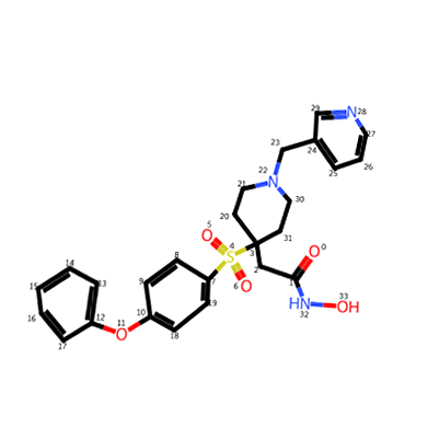 O=C(CC1(S(=O)(=O)c2ccc(Oc3ccccc3)cc2)CCN(Cc2cccnc2)CC1)NO